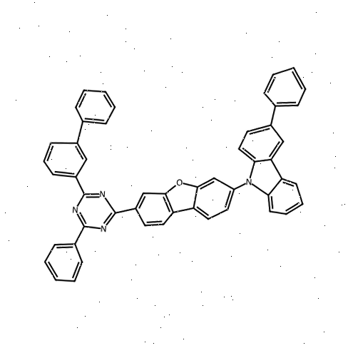 c1ccc(-c2cccc(-c3nc(-c4ccccc4)nc(-c4ccc5c(c4)oc4cc(-n6c7ccccc7c7cc(-c8ccccc8)ccc76)ccc45)n3)c2)cc1